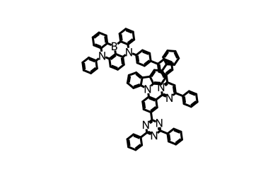 c1ccc(-c2ccc3c(c2)c2ccccc2n3-c2ccc(-c3nc(-c4ccccc4)nc(-c4ccccc4)n3)cc2-c2nc(-c3ccccc3)cc(-c3cccc(-c4ccc(N5c6ccccc6B6c7ccccc7N(c7ccccc7)c7cccc5c76)cc4)c3)n2)cc1